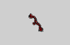 FC(F)(F)C1(C(F)(F)F)OC2C3CC(CC3OCOc3ccc([S+](c4ccccc4)c4ccc(OCOC5CC6CC5C5OC(C(F)(F)F)(C(F)(F)F)C65)cc4)cc3)C21